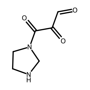 O=CC(=O)C(=O)N1CCNC1